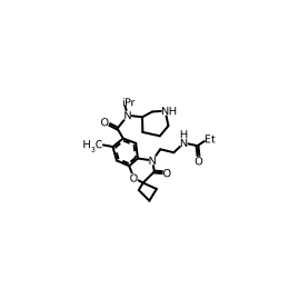 CCC(=O)NCCN1C(=O)C2(CCC2)Oc2cc(C)c(C(=O)N(C(C)C)C3CCCNC3)cc21